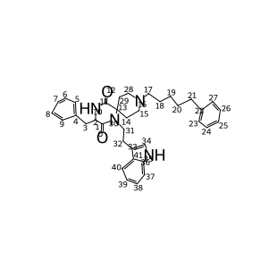 O=C1C(Cc2ccccc2)NC(=O)C2(CCN(CCCCCc3ccccc3)CC2)N1CCc1c[nH]c2ccccc12